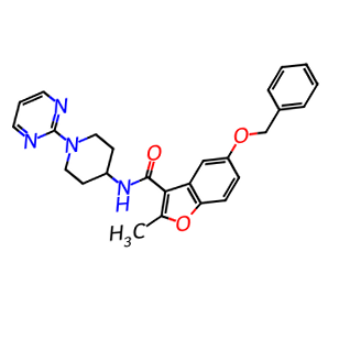 Cc1oc2ccc(OCc3ccccc3)cc2c1C(=O)NC1CCN(c2ncccn2)CC1